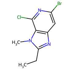 CCc1nc2cc(Br)nc(Cl)c2n1C